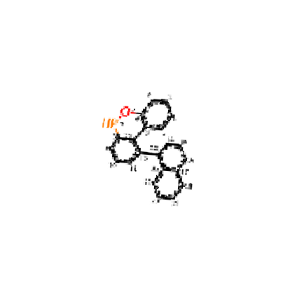 c1ccc2c(c1)OPc1cccc(-c3cccc4ccccc34)c1-2